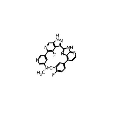 CN(C)c1cncc(-c2ncc3[nH]nc(-c4nc5c(-c6ccc(F)cc6)ccnc5[nH]4)c3c2F)c1